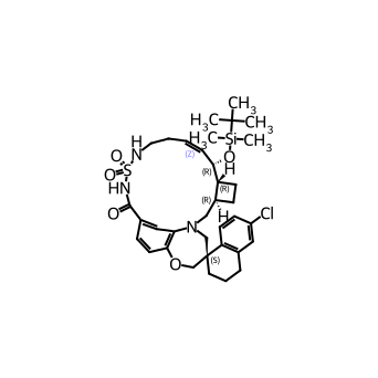 CC(C)(C)[Si](C)(C)O[C@H]1/C=C\CCNS(=O)(=O)NC(=O)c2ccc3c(c2)N(C[C@@H]2CC[C@H]21)C[C@@]1(CCCc2cc(Cl)ccc21)CO3